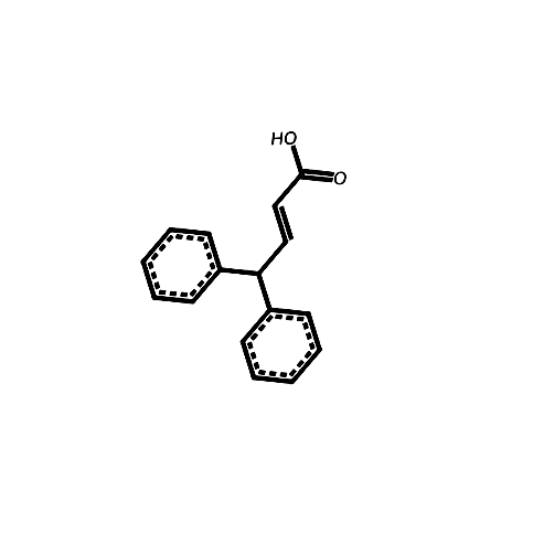 O=C(O)C=CC(c1ccccc1)c1ccccc1